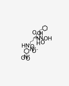 O=C(O)NN[C@@H](CCCCNc1ccc([N+](=O)[O-])cc1[N+](=O)[O-])C(=O)OCc1ccccc1